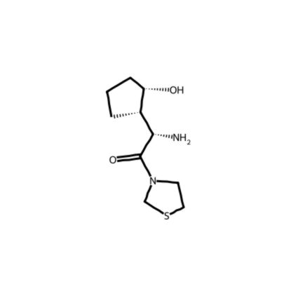 N[C@H](C(=O)N1CCSC1)[C@@H]1CCC[C@@H]1O